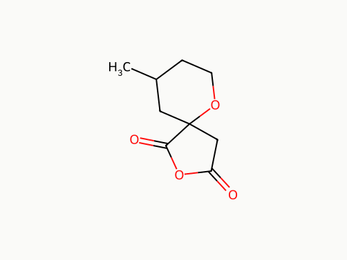 CC1CCOC2(CC(=O)OC2=O)C1